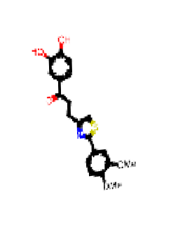 COc1ccc(-c2nc(CCC(=O)c3ccc(O)c(O)c3)cs2)cc1OC